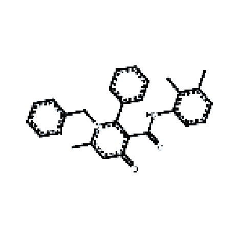 Cc1cccc(NC(=O)c2c(-c3ccccc3)n(Cc3ccccn3)c(C)cc2=O)c1C